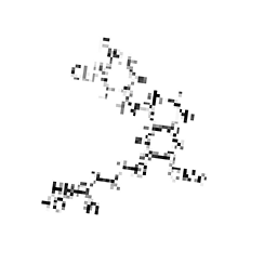 COc1cc2ncnc(Nc3ccc(F)c(Cl)c3)c2cc1OCCCC(=O)NO